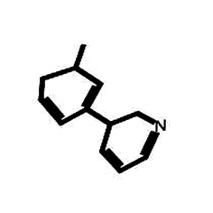 CC1C=C(C2C=CC=NC2)C=CC1